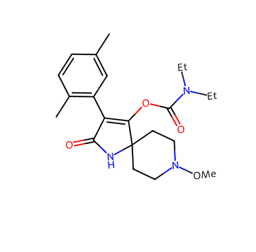 CCN(CC)C(=O)OC1=C(c2cc(C)ccc2C)C(=O)NC12CCN(OC)CC2